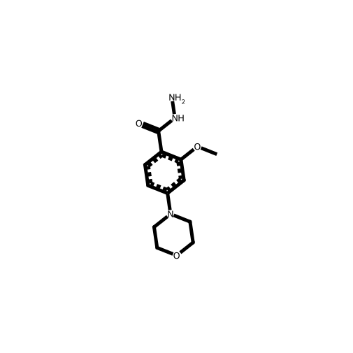 COc1cc(N2CCOCC2)ccc1C(=O)NN